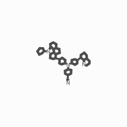 N#Cc1ccc(N(c2ccc(-c3ccc4c5c3ccc3cccc(c35)n4-c3ccccc3)cc2)c2ccc(-c3cccc4cccnc34)cc2)cc1